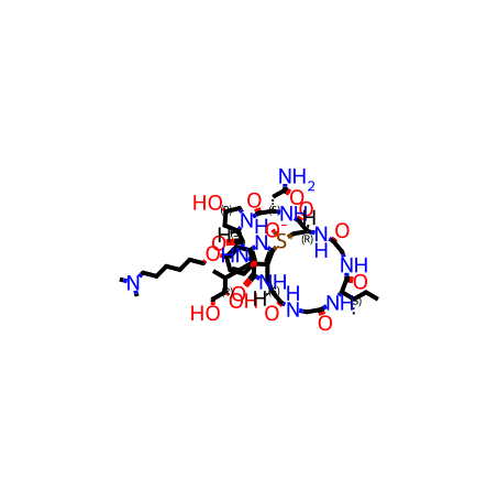 CC[C@H](C)C1NC(=O)CNC(=O)[C@@H]2Cc3c([nH]c4cc(OCCCCCCN(C)C)ccc34)[S+]([O-])C[C@H](NC(=O)CNC1=O)C(=O)N[C@@H](CC(N)=O)C(=O)N1C[C@H](O)C[C@H]1C(=O)NC(C(C)[C@@H](O)CO)C(=O)N2